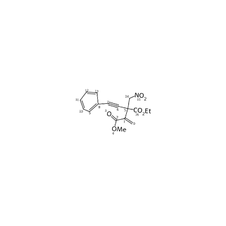 C=C(C(=O)OC)C(C#Cc1ccccc1)(C[N+](=O)[O-])C(=O)OCC